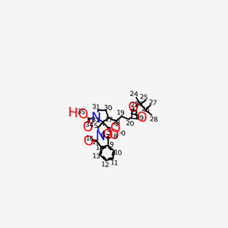 COC(=O)C1(CN2C(=O)c3ccccc3C2=O)C(CCCB2OC(C)(C)C(C)(C)O2)CCN1C(=O)O